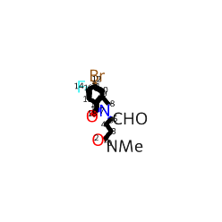 CNC(=O)CCC(C=O)N1Cc2cc(Br)c(F)cc2C1=O